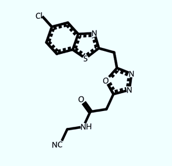 N#CCNC(=O)Cc1nnc(Cc2nc3cc(Cl)ccc3s2)o1